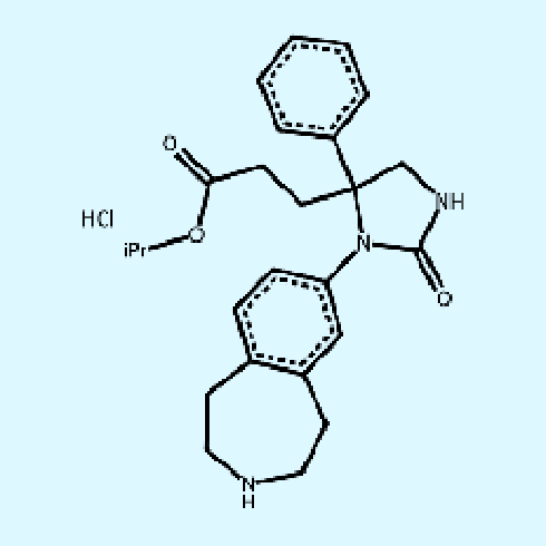 CC(C)OC(=O)CCC1(c2ccccc2)CNC(=O)N1c1ccc2c(c1)CCNCC2.Cl